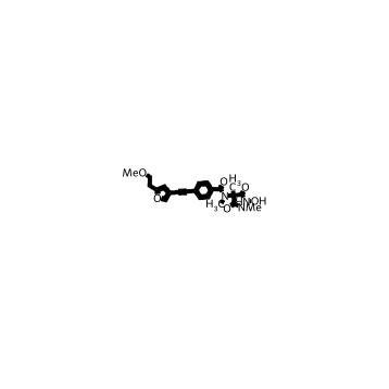 CNC(=O)C(C)(C(=O)NO)N(C)C(=O)c1ccc(C#Cc2coc(CCOC)c2)cc1